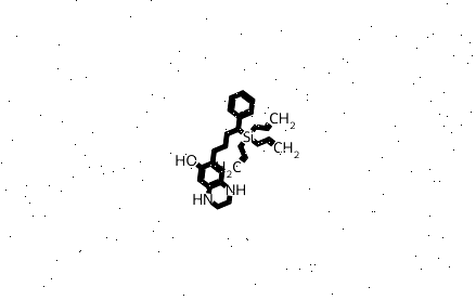 C=CC[Si](CC=C)(CC=C)C(CCCc1cc2c(cc1O)NCCN2)c1ccccc1